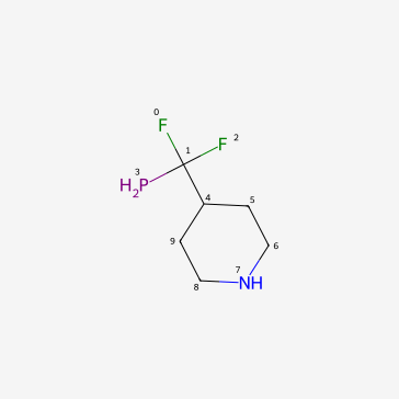 FC(F)(P)C1CCNCC1